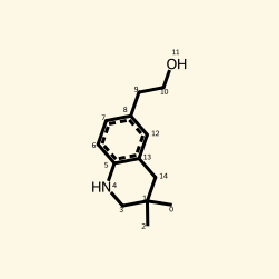 CC1(C)CNc2ccc(CCO)cc2C1